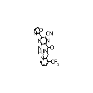 N#Cc1nc(C(=O)NCc2ncccc2C(F)(F)F)c(N)nc1-c1ncco1